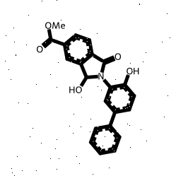 COC(=O)c1ccc2c(c1)C(O)N(c1cc(-c3ccccc3)ccc1O)C2=O